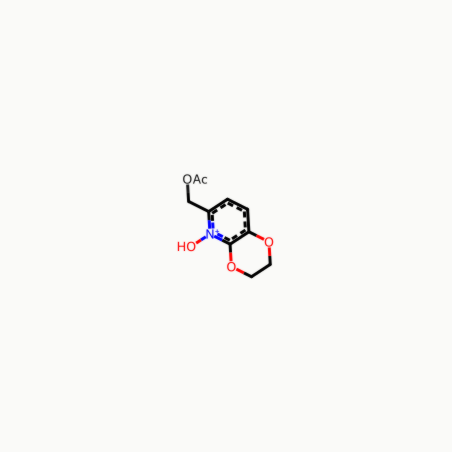 CC(=O)OCc1ccc2c([n+]1O)OCCO2